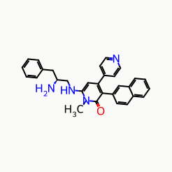 Cn1c(NC[C@@H](N)Cc2ccccc2)cc(-c2ccncc2)c(-c2ccc3ccccc3c2)c1=O